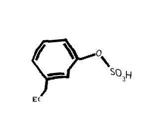 CCc1cccc(OS(=O)(=O)O)c1